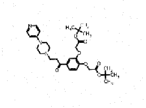 CC(C)(C)OC(=O)COc1ccc(C(=O)CCN2CCN(c3ccncc3)CC2)cc1OCC(=O)OC(C)(C)C